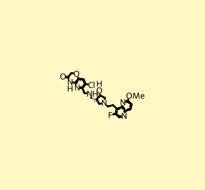 COc1ccc2ncc(F)c(CCN3C[C@H](CNCc4nc5c(cc4Cl)OCC(=O)N5)[C@H](O)C3)c2n1